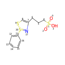 O=S(=O)(O)CCCC1=CSS(c2ccccc2)=N1